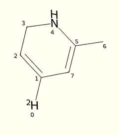 [2H]C1=CCNC(C)=C1